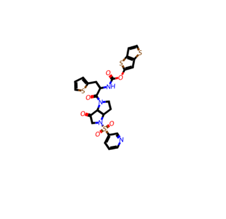 O=C(NC(Cc1cccs1)C(=O)N1CCC2C1C(=O)CN2S(=O)(=O)c1cccnc1)Oc1cc2sccc2s1